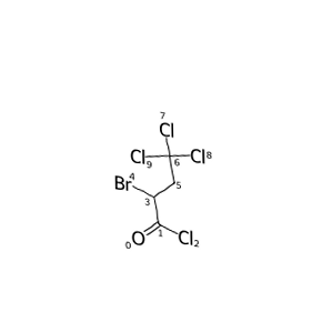 O=C(Cl)C(Br)CC(Cl)(Cl)Cl